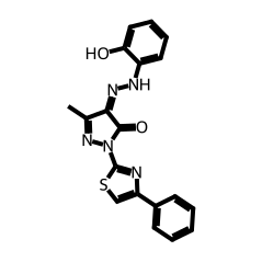 CC1=NN(c2nc(-c3ccccc3)cs2)C(=O)/C1=N\Nc1ccccc1O